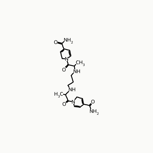 CC(NCCCNC(C)C(=O)N1C=CC(C(N)=O)=CC1)C(=O)N1C=CC(C(N)=O)=CC1